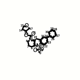 CS(=O)(=O)N[C@@H]1CCCN(C(=O)OC2CCOC2)[C@@H]1Cc1cccc(-c2ccccc2)c1